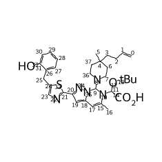 C=CCCC1(C)CCN(C2N(C(OC(C)(C)C)C(=O)O)C(C)=Cc3cc(-c4ncc(Cc5ccccc5O)s4)nn32)CC1